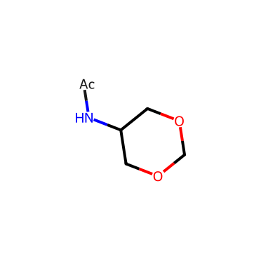 CC(=O)NC1COCOC1